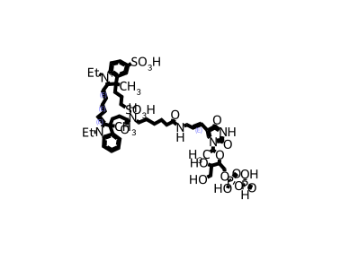 CCN1/C(=C/C=C/C=C/C2=[N+](CC)c3ccc(S(=O)(=O)O)cc3C2(C)CCCS(=O)(=O)O)C(C)(CCC(=O)NCCCCCC(=O)NC/C=C/c2cn(C(C)OC(COP(=O)(O)O[PH](=O)O)C(O)CO)c(=O)[nH]c2=O)c2ccccc21